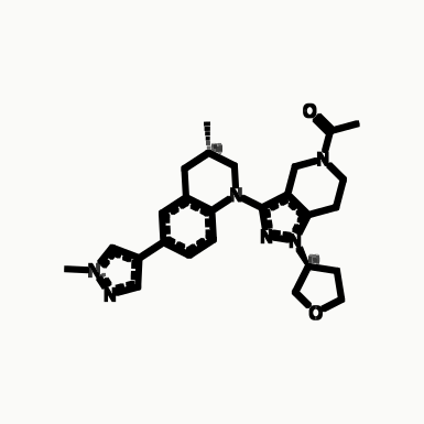 CC(=O)N1CCc2c(c(N3C[C@@H](C)Cc4cc(-c5cnn(C)c5)ccc43)nn2[C@H]2CCOC2)C1